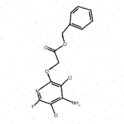 Nc1c(Cl)c(F)nc(OCC(=O)OCc2ccccc2)c1Cl